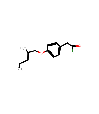 CCCC(C)COc1ccc(CC(=O)Cl)cc1